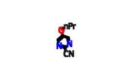 CCCOc1cnc(C#N)nc1